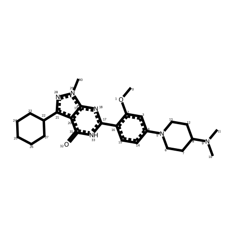 COc1cc(N2CCC(N(C)C)CC2)ccc1-c1nc2c(c(C3CCCCC3)nn2C)c(=O)[nH]1